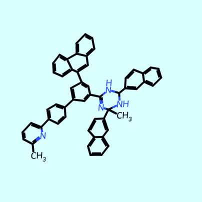 Cc1cccc(-c2ccc(-c3cc(C4=NC(C)(c5ccc6ccccc6c5)NC(c5ccc6ccccc6c5)N4)cc(-c4cc5ccccc5c5ccccc45)c3)cc2)n1